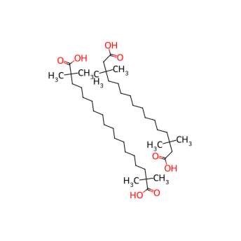 CC(C)(CCCCCCCCCCC(C)(C)CC(=O)O)CC(=O)O.CC(C)(CCCCCCCCCCCCCCC(C)(C)C(=O)O)C(=O)O